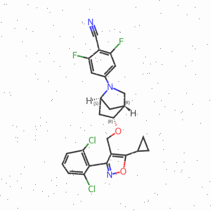 N#Cc1c(F)cc(N2C[C@H]3C[C@H]2C[C@H]3OCc2c(-c3c(Cl)cccc3Cl)noc2C2CC2)cc1F